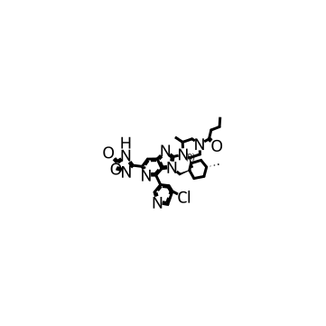 CCCC(=O)N1CC(C)N(c2nc3cc(-c4noc(=O)[nH]4)nc(-c4cncc(Cl)c4)c3n2C[C@H]2CC[C@H](C)CC2)[C@H](C)C1